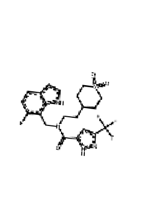 O=C(c1cc(C(F)(F)F)n[nH]1)N(CCC1CCS(=O)(=O)CC1)Cc1c(F)ccc2cc[nH]c12